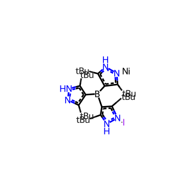 CC(C)(C)c1n[nH]c(C(C)(C)C)c1B(c1c(C(C)(C)C)n[nH]c1C(C)(C)C)c1c(C(C)(C)C)n[nH]c1C(C)(C)C.[I].[Ni]